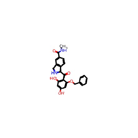 CNC(=O)c1ccc2c(c1)CNC2C(=O)c1c(O)cc(O)cc1OCc1ccccc1